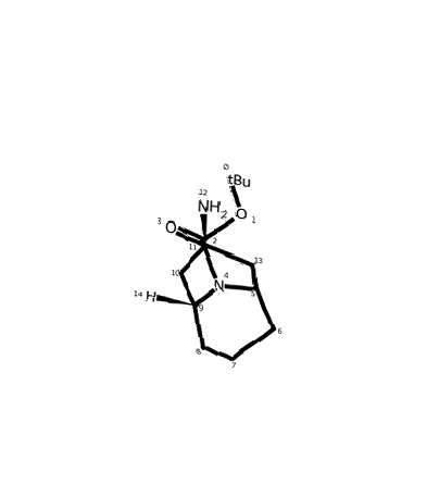 CC(C)(C)OC(=O)N1C2CCC[C@@H]1C[C@@H](N)C2